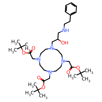 CC(C)(C)OC(=O)CN1CCN(CC(=O)OC(C)(C)C)CCN(CC(O)CNCCc2ccccc2)CCN(CC(=O)OC(C)(C)C)CC1